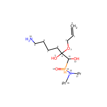 C=CCOC(O)(CCCCN)C(O)[PH](=O)N(C(C)C)C(C)C